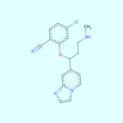 CNCCC(Oc1cc(Cl)ccc1C#N)c1ccn2ccnc2c1